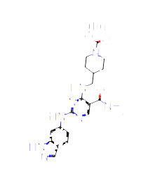 CC(C)(C)OC(=O)N1CCC(CNc2nc(Nc3ccc4cn[nH]c4c3)ncc2C(N)=O)CC1